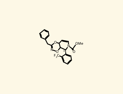 COC(=O)N1C=CC2OC(Cc3ccccc3)=NOC2[C@@H]1c1ccccc1C(F)(F)F